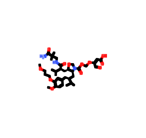 COCCCOc1cc(C[C@@H](C[C@H]2[C@H](C[C@H](C(=O)NCC(C)(C)C(N)=O)C(C)C)OCN2C(=O)OCO/C(C=O)=C/C(=O)O)C(C)C)ccc1OC